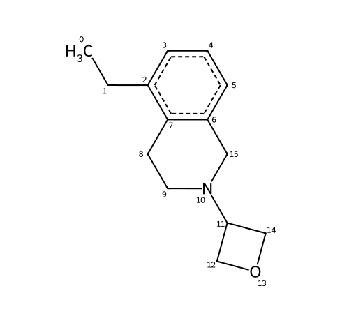 CCc1cccc2c1CCN(C1COC1)C2